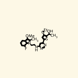 CCOc1cc(-c2cc(NCCn3c(C)c(OC)c4cccc(F)c43)ncn2)sc1C(C)O